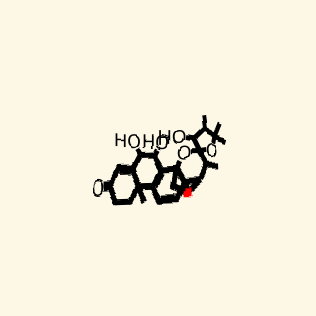 CC1C(O)C2(OC1(C)C)OC13CCC(C2C)C1(C)C=CC1=C3C(O)C(O)C2=CC(=O)CCC21C